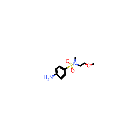 COCCN(C)S(=O)(=O)c1ccc(N)cc1